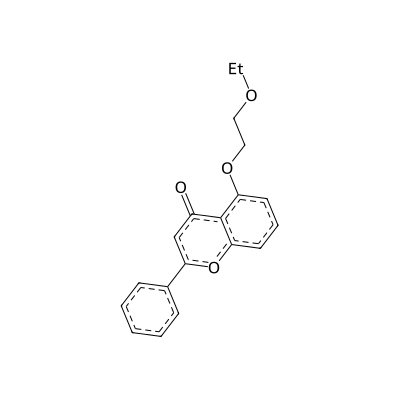 CCOCCOc1cccc2oc(-c3ccccc3)cc(=O)c12